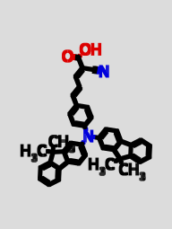 CC1(C)c2ccccc2-c2ccc(N(c3ccc(/C=C/C=C(\C#N)C(=O)O)cc3)c3ccc4c(c3)C(C)(C)c3ccccc3-4)cc21